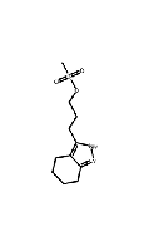 CS(=O)(=O)OCCCc1[nH]nc2c1CCCC2